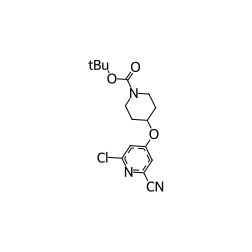 CC(C)(C)OC(=O)N1CCC(Oc2cc(Cl)nc(C#N)c2)CC1